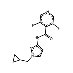 O=C(Nc1ccn(CC2CC2)n1)c1c(F)cncc1F